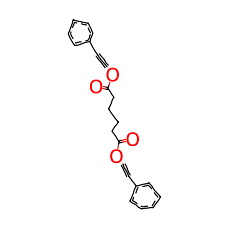 O=C(CCCCC(=O)OC#Cc1ccccc1)OC#Cc1ccccc1